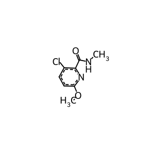 CNC(=O)c1nc(OC)ccc1Cl